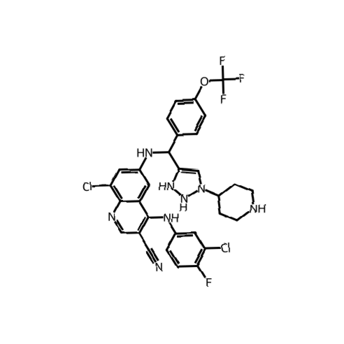 N#Cc1cnc2c(Cl)cc(NC(C3=CN(C4CCNCC4)NN3)c3ccc(OC(F)(F)F)cc3)cc2c1Nc1ccc(F)c(Cl)c1